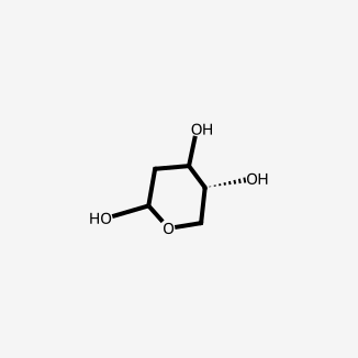 OC1CC(O)[C@H](O)CO1